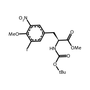 COC(=O)[C@H](Cc1cc(I)c(OC)c([N+](=O)[O-])c1)NC(=O)OC(C)(C)C